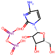 Nc1ccn([C@@H]2O[C@H](CO)[C@@H](O)[C@H]2O)c(=O)n1.O=[PH](O)O[PH](=O)O